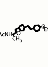 CCOc1ccc(C=Cc2ccc3cc(C(C)NC(C)=O)oc3c2)cc1